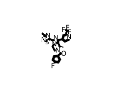 Cc1nsc(-c2nc(-c3ccnc(C(F)(F)F)c3)c3n2CCN(C(=O)c2ccc(F)cc2)[C@@H]3C)n1